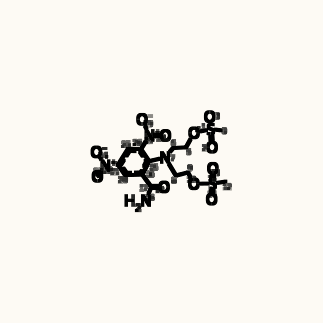 CS(=O)(=O)OCCN(CCOS(C)(=O)=O)c1c(C(N)=O)cc([N+](=O)[O-])cc1[N+](=O)[O-]